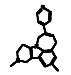 Cc1cc2c3c(c1)c1c(n3CC(c3ccncc3)=CC2)CCN(C)C1